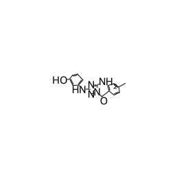 Cc1ccc(C(=O)n2nc(Nc3cccc(O)c3)nc2N)cc1